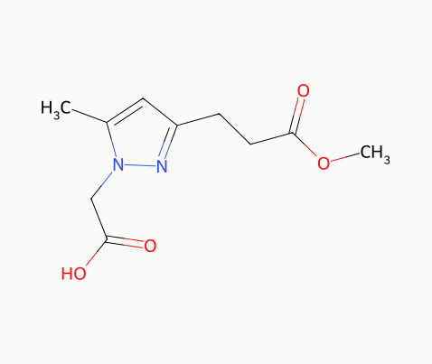 COC(=O)CCc1cc(C)n(CC(=O)O)n1